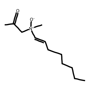 CCCCCCC=C[N+](C)([O-])CC(C)=O